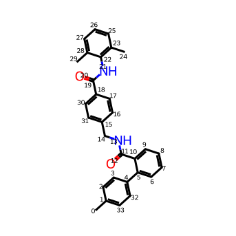 Cc1ccc(-c2ccccc2C(=O)NCc2ccc(C(=O)Nc3c(C)cccc3C)cc2)cc1